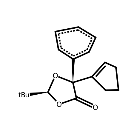 CC(C)(C)[C@@H]1OC(=O)[C@](C2=CCCC2)(c2ccccc2)O1